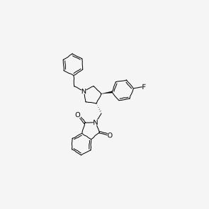 O=C1c2ccccc2C(=O)N1C[C@@H]1CN(Cc2ccccc2)C[C@H]1c1ccc(F)cc1